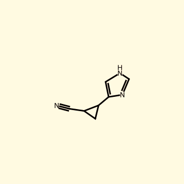 N#CC1CC1c1c[nH]cn1